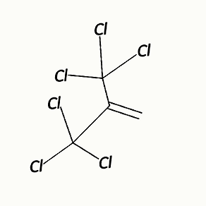 C=C(C(Cl)(Cl)Cl)C(Cl)(Cl)Cl